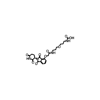 O=C(O)NCCCOCCCNC(=O)COc1cccc2c1C(=O)N(C1CCC(=O)NC1=O)C2=O